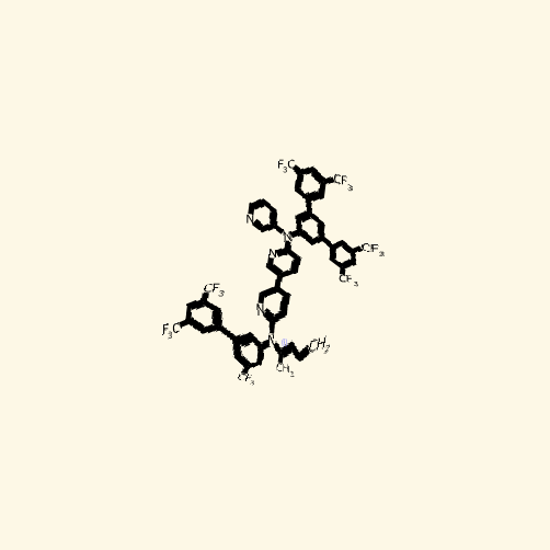 C=C/C=C(\C)N(c1cc(-c2cc(C(F)(F)F)cc(C(F)(F)F)c2)cc(C(F)(F)F)c1)c1ccc(-c2ccc(N(c3cccnc3)c3cc(-c4cc(C(F)(F)F)cc(C(F)(F)F)c4)cc(-c4cc(C(F)(F)F)cc(C(F)(F)F)c4)c3)nc2)cn1